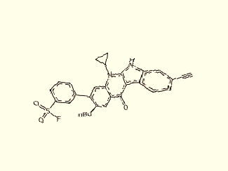 C#Cc1ccc2c(c1)[nH]c1c2c(=O)c2cc(CCCC)c(-c3cccc(S(=O)(=O)F)c3)cc2n1C1CC1